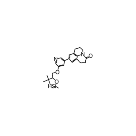 C[SiH](C)OC(COc1cncc(-c2cc3c4c(c2)CCC(=O)N4CCC3)c1)C(C)(C)C